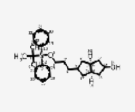 CC(C)(C)[Si](OCCCC1C[C@H]2CC(O)C[C@H]2C1)(c1ccccc1)c1ccccc1